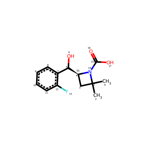 CC1(C)C[C@@H](C(O)c2ccccc2F)N1C(=O)O